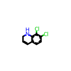 Clc1ccc2c(c1Cl)NCC=C2